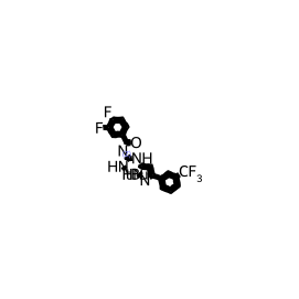 CC(C)(C)N/C(=N/C(=O)c1ccc(F)c(F)c1)Nc1cc(-c2cccc(C(F)(F)F)c2)n[nH]1